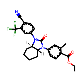 CCOC(=O)c1ccc(N2C(=O)N(c3ccc(C#N)c(C(F)(F)F)c3)[C@@H]3CCCC[C@H]32)cc1C